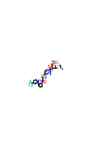 CCC(NC(=S)N1CCC(c2nc(C(=O)Nc3ccccc3-c3cccc(C(F)(F)F)c3)cs2)CC1)C(=O)OC